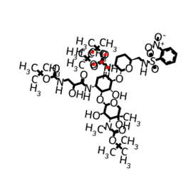 CN(C(=O)OC(C)(C)C)[C@@H]1[C@@H](O)[C@@H](O[C@@H]2[C@@H](O)[C@H](O[C@H]3O[C@H](CNS(=O)(=O)c4ccccc4[N+](=O)[O-])CC[C@H]3NC(=O)OC(C)(C)C)[C@@H](NC(=O)OC(C)(C)C)C[C@H]2NC(=O)C(O)CNC(=O)OC(C)(C)C)OC[C@]1(C)O